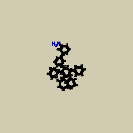 Nc1cccc(-c2cccc(-c3cc(-c4ccccc4)c4c(c3-c3ccccc3)-c3cccc5cccc-4c35)c2)c1